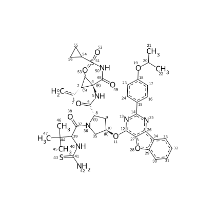 C=C[C@@H]1C[C@]1(NC(=O)[C@@H]1C[C@@H](Oc2nc(-c3ccc(OC(C)C)cc3)nc3c2oc2ccccc23)CN1C(=O)C(NC(N)=S)C(C)(C)C)C(=O)NS(=O)(=O)C1CC1